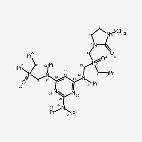 CC(C)CP(=O)(CN1CCN(C)C1=O)CN(c1nc(N(CP(=O)(CC(C)C)C(C)C)C(C)C)nc(N(C(C)C)C(C)C)n1)C(C)C